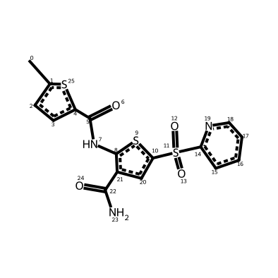 Cc1ccc(C(=O)Nc2sc(S(=O)(=O)c3ccccn3)cc2C(N)=O)s1